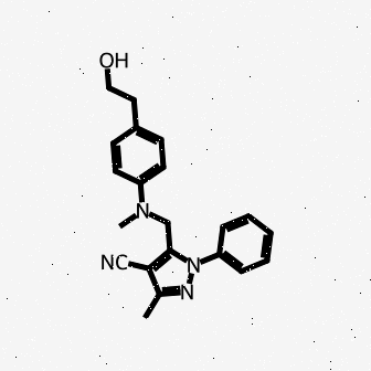 Cc1nn(-c2ccccc2)c(CN(C)c2ccc(CCO)cc2)c1C#N